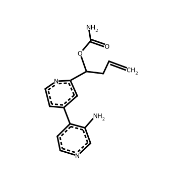 C=CCC(OC(N)=O)c1cc(-c2ccncc2N)ccn1